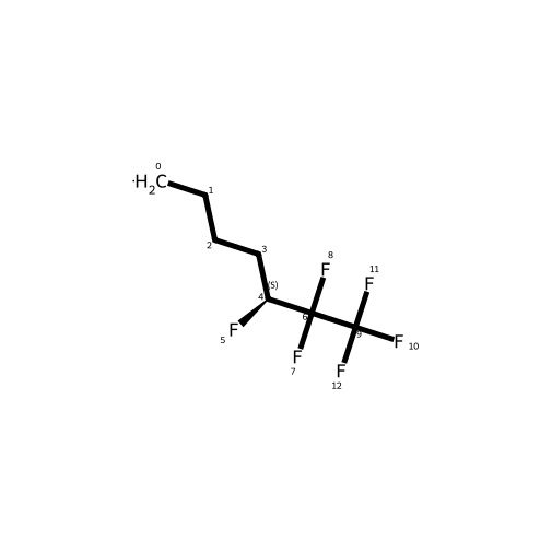 [CH2]CCC[C@H](F)C(F)(F)C(F)(F)F